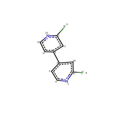 Fc1[c]c(-c2ccnc(F)c2)ccn1